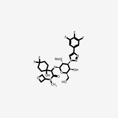 CO[C@@H]1[C@@H](n2cc(-c3cc(F)c(F)c(F)c3)nn2)[C@@H](O)[C@@H](CO)O[C@H]1SC(C(=O)N(C)C1COC1)C1(O)CCC(F)(F)CC1